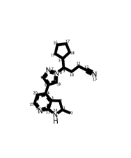 CC1Cc2c(-c3cnn(C(CCC#N)C4CCCC4)c3)ccnc2N1